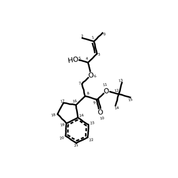 CC(C)=CC(O)OCC(C(=O)OC(C)(C)C)C1CCc2ccccc21